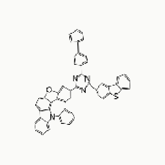 c1ccc(-c2ccc(-c3nc(-c4ccc5c(c4)oc4ccc6c7ccccc7n(-c7ccccc7)c6c45)nc(-c4ccc5sc6ccccc6c5c4)n3)cc2)cc1